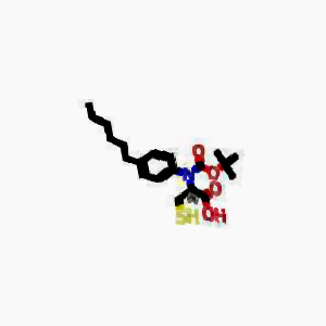 CCCCCCc1ccc(N(C(=O)OC(C)(C)C)[C@H](CS)C(=O)O)cc1